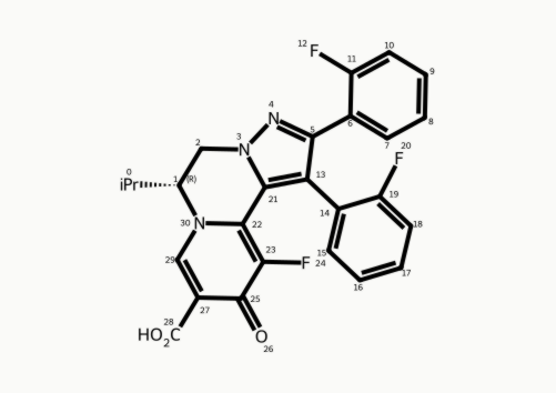 CC(C)[C@@H]1Cn2nc(-c3ccccc3F)c(-c3ccccc3F)c2-c2c(F)c(=O)c(C(=O)O)cn21